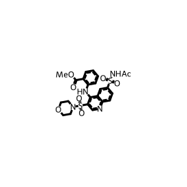 COC(=O)c1ccccc1Nc1c(S(=O)(=O)N2CCOCC2)cnc2ccc(S(=O)(=O)NC(C)=O)cc12